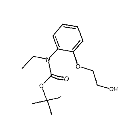 CCN(C(=O)OC(C)(C)C)c1ccccc1OCCO